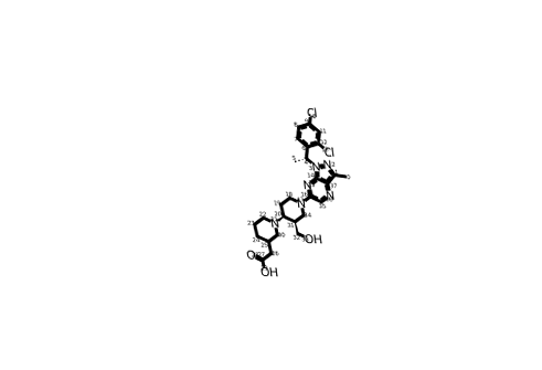 Cc1nn([C@H](C)c2ccc(Cl)cc2Cl)c2nc(N3CC[C@H](N4CCCC(CC(=O)O)C4)[C@H](CO)C3)cnc12